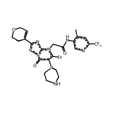 CCc1c(N2CCNCC2)c(=O)n2nc(C3=CCOCC3)nc2n1CC(=O)Nc1cnc(C(F)(F)F)cc1C